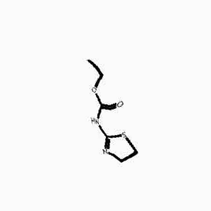 CCOC(=O)NC1=NCCS1